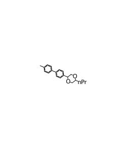 CCCC1COC(c2ccc(-c3ccc(C)cc3)cc2)CO1